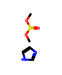 COS(=O)OC.c1c[nH]cn1